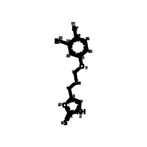 S=c1[nH]cc(CSCOc2ccc(Br)c(Br)c2)o1